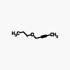 CC#CCO[CH]CC